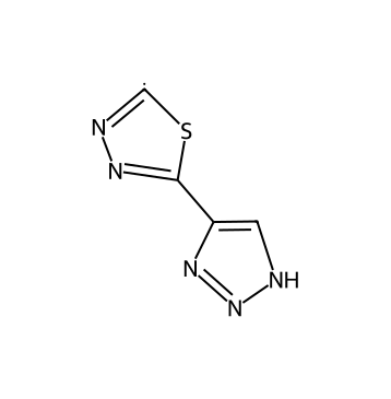 [c]1nnc(-c2c[nH]nn2)s1